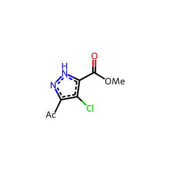 COC(=O)c1[nH]nc(C(C)=O)c1Cl